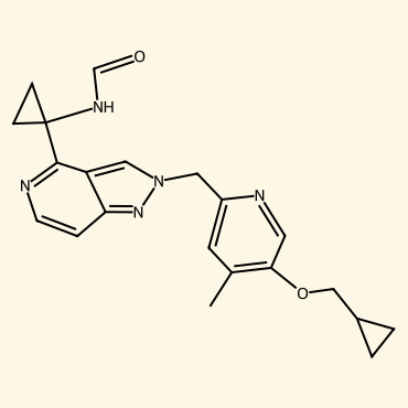 Cc1cc(Cn2cc3c(C4(NC=O)CC4)nccc3n2)ncc1OCC1CC1